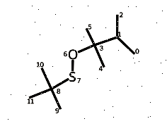 CC(C)C(C)(C)OSC(C)(C)C